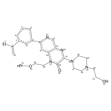 C=C(CC)c1cccc(-c2cc3c(cn2)nc(N2CCN(CCO)CC2)c(=O)n3CCOCCC)c1